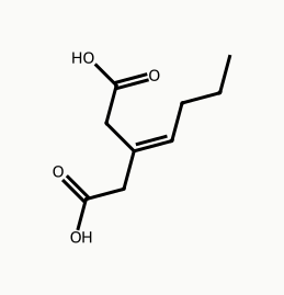 CCCC=C(CC(=O)O)CC(=O)O